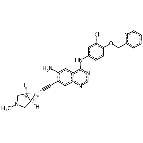 CN1C[C@@H]2[C@@H](C#Cc3cc4ncnc(Nc5ccc(OCc6ccccn6)c(Cl)c5)c4cc3N)[C@@H]2C1